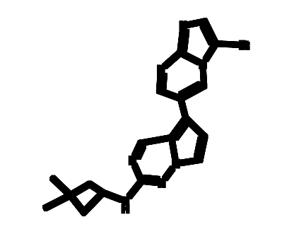 CCc1cnc2ncc(-c3ccn4nc(NC5CC(C)(C)C5)ncc34)cn12